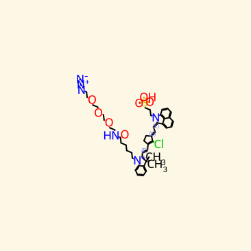 CC1(C)C(/C=C/C2=C(Cl)C(=C/C=c3\c4cccc5cccc(c54)n3CCCS(=O)(=O)O)/CC2)=[N+](CCCCCC(=O)NCCOCCOCCOCCN=[N+]=[N-])c2ccccc21